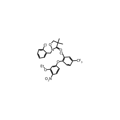 CC1(C)CON(Cc2ccccc2Cl)C1=O.CCOc1cc(Oc2ccc(C(F)(F)F)cc2Cl)ccc1[N+](=O)[O-]